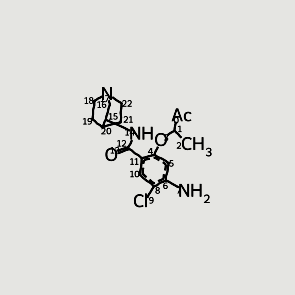 CC(=O)C(C)Oc1cc(N)c(Cl)cc1C(=O)NC1CN2CCC1CC2